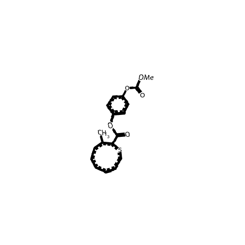 COC(=O)Oc1ccc(OC(=O)c2sccccccc2C)cc1